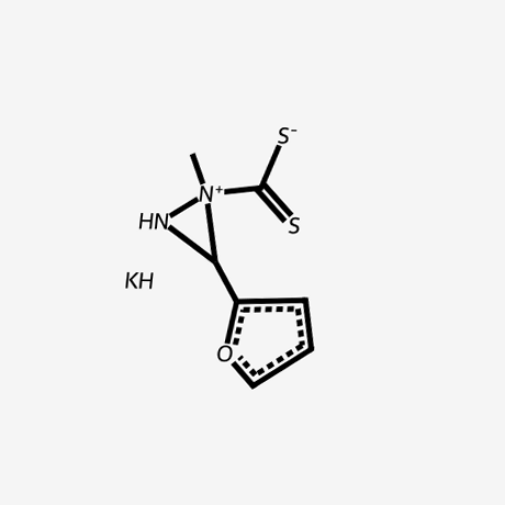 C[N+]1(C(=S)[S-])NC1c1ccco1.[KH]